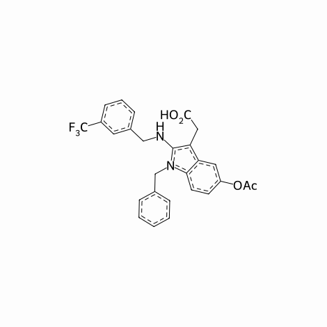 CC(=O)Oc1ccc2c(c1)c(CC(=O)O)c(NCc1cccc(C(F)(F)F)c1)n2Cc1ccccc1